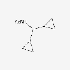 CC(=O)NC(C1CC1)C1CC1